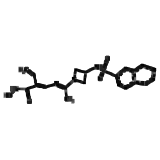 C=C/C(=C\N=C(/C)N1CC(NS(=O)(=O)c2ccc3ccccc3c2)C1)C(=O)NO